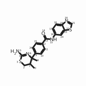 CC1CSC(N)=NC1(C)c1ccc(C(=O)Nc2ccc3ncsc3c2)cc1